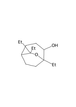 CCC12CCC(CCC1O)C(CC)(CC)O2